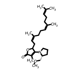 COC[C@H]1CCCN1C1=C(C)C(=O)OC1CC=C(C)CCC=C(C)CCC=C(C)C